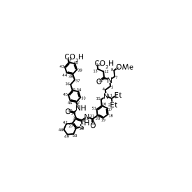 CCC(CC)N(CCN(CCOC)C(=O)CCC(=O)O)Cc1cccc(C(=O)Nc2sc3c(c2C(=O)Nc2ccc(CCc4ccc(C(=O)O)cc4)cc2)CCCC3)c1